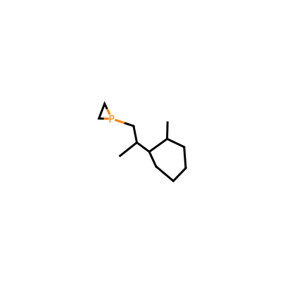 CC1CCCCC1C(C)CP1CC1